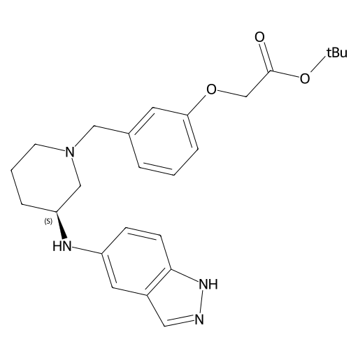 CC(C)(C)OC(=O)COc1cccc(CN2CCC[C@H](Nc3ccc4[nH]ncc4c3)C2)c1